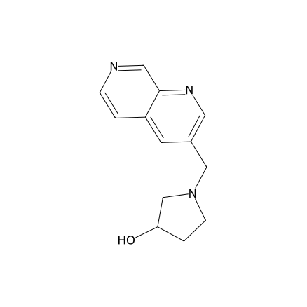 OC1CCN(Cc2cnc3cnccc3c2)C1